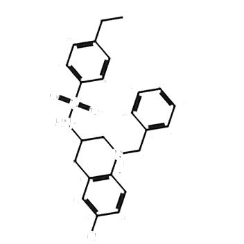 CCc1ccc(S(=O)(=O)NC2Cc3cc(Cl)ccc3N(Cc3ccccc3)C2)cc1